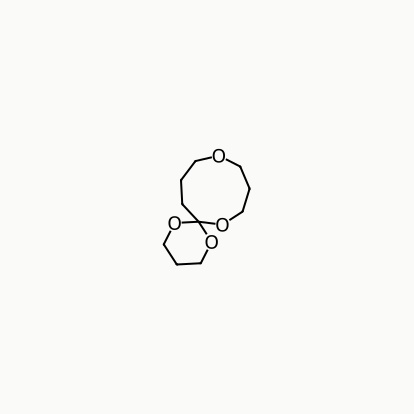 C1COCCCC2(OC1)OCCCO2